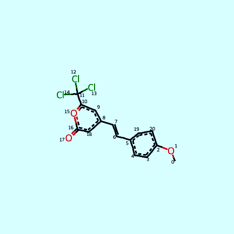 COc1ccc(C=Cc2cc(C(Cl)(Cl)Cl)oc(=O)c2)cc1